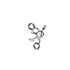 COC(=O)N(Cc1ccccc1)[C@]1(C#N)C[C@H]1OCc1ccccc1